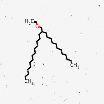 C=COCC(CCCCCCCCCCCC)CCCCCCCCCCCCCC